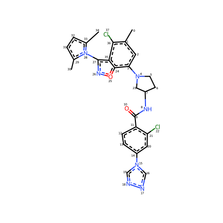 Cc1cc(N2CCC(NC(=O)c3ccc(-n4cnnc4)cc3Cl)C2)c2onc(-n3c(C)ccc3C)c2c1Cl